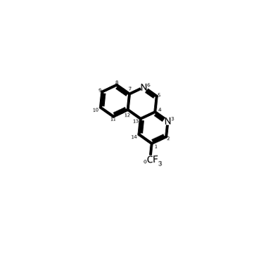 FC(F)(F)c1cnc2cnc3ccccc3c2c1